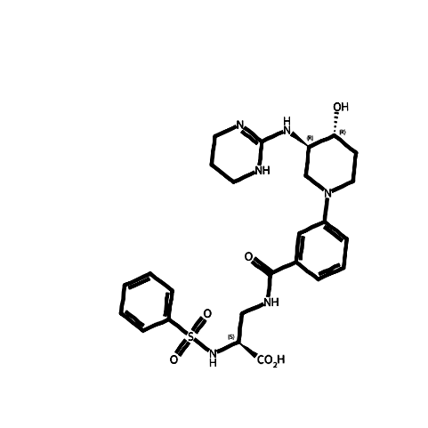 O=C(NC[C@H](NS(=O)(=O)c1ccccc1)C(=O)O)c1cccc(N2CC[C@@H](O)[C@H](NC3=NCCCN3)C2)c1